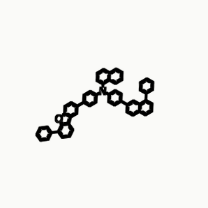 c1ccc(-c2cccc3ccc(-c4ccc(N(c5ccc(-c6ccc7oc8c(-c9ccccc9)cccc8c7c6)cc5)c5cccc6ccccc56)cc4)cc23)cc1